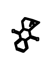 CC12CCC3C(=O)c4ccccc4C(=O)C3C1C2